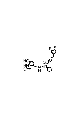 O=C(CCOCCc1ccc(F)c(F)c1)N(CCNCCc1ccc(O)c2[nH]c(=O)ccc12)C1CCCCC1